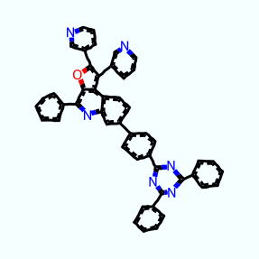 c1ccc(-c2nc(-c3ccccc3)nc(-c3ccc(-c4ccc5c(c4)nc(-c4ccccc4)c4oc(-c6cccnc6)c(-c6cccnc6)c45)cc3)n2)cc1